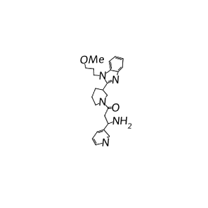 COCCCn1c(C2CCCN(C(=O)CC(N)c3cccnc3)C2)nc2ccccc21